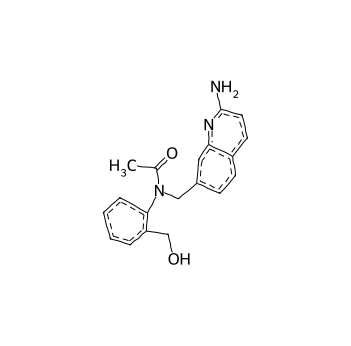 CC(=O)N(Cc1ccc2ccc(N)nc2c1)c1ccccc1CO